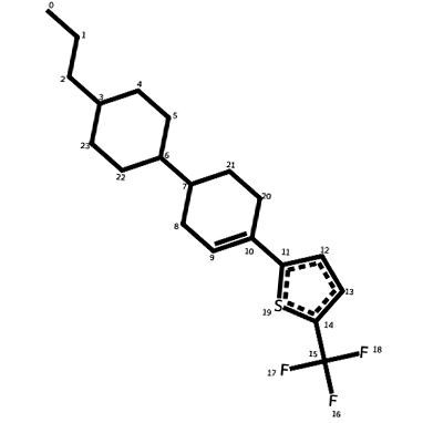 CCCC1CCC(C2CC=C(c3ccc(C(F)(F)F)s3)CC2)CC1